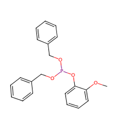 COc1ccccc1OP(OCc1ccccc1)OCc1ccccc1